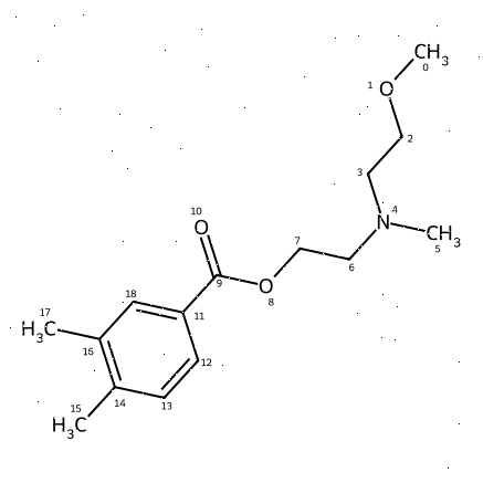 COCCN(C)CCOC(=O)c1ccc(C)c(C)c1